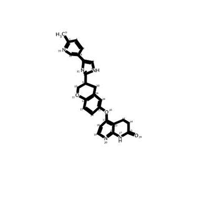 Cc1ccc(-c2c[nH]c(C3COc4ccc(Oc5ccnc6c5CCC(=O)N6)cc4C3)n2)cn1